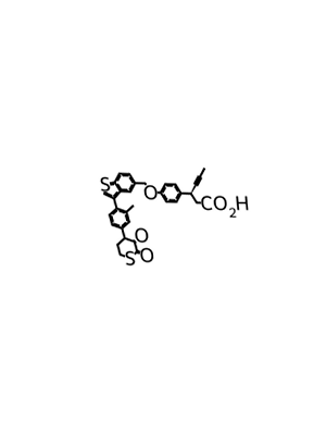 CC#C[C@@H](CC(=O)O)c1ccc(OCc2ccc3scc(-c4ccc(C5CCSC(=O)C5=O)cc4C)c3c2)cc1